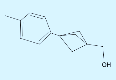 Cc1ccc(C23CC(CO)(C2)C3)cc1